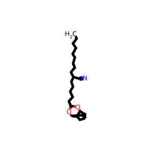 [CH2]CCCCCCCCC(C#N)CCCCC[C]1OC2CC3CC(O1)C2C3